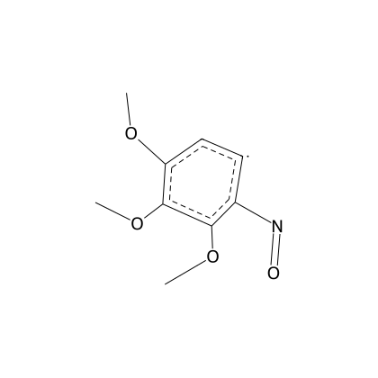 COc1c[c]c(N=O)c(OC)c1OC